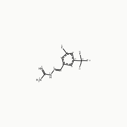 N=C(N)NN=Cc1cc(F)cc(C(F)(F)F)c1